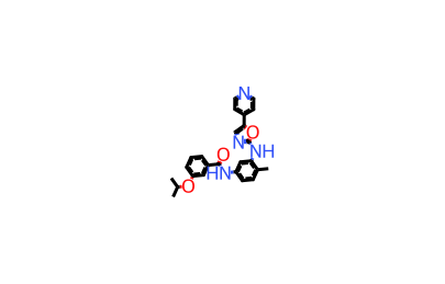 Cc1ccc(NC(=O)c2cccc(OC(C)C)c2)cc1Nc1ncc(-c2ccncc2)o1